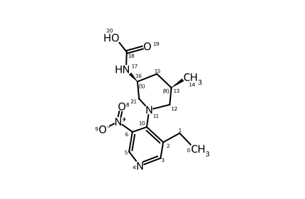 CCc1cncc([N+](=O)[O-])c1N1C[C@H](C)C[C@H](NC(=O)O)C1